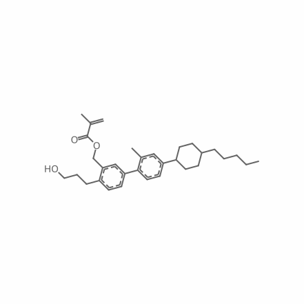 C=C(C)C(=O)OCc1cc(-c2ccc(C3CCC(CCCCC)CC3)cc2C)ccc1CCCO